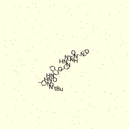 Cc1ccc(-n2nc(C(C)(C)C)cc2NC(=O)Nc2ccc(OCc3ccnc(Nc4cnc(C(=O)NCCN5CCOCC5)cn4)c3)c3ccccc23)cc1